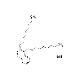 CCCCCCCCCc1ccc2ccccc2c1CCCCCCCCC.[NaH]